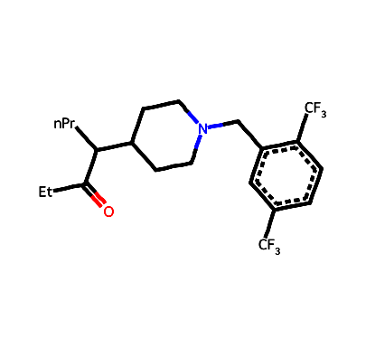 CCCC(C(=O)CC)C1CCN(Cc2cc(C(F)(F)F)ccc2C(F)(F)F)CC1